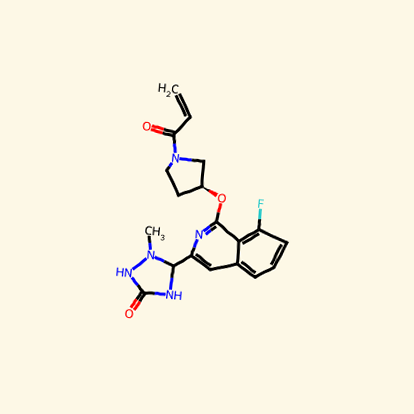 C=CC(=O)N1CC[C@H](Oc2nc(C3NC(=O)NN3C)cc3cccc(F)c23)C1